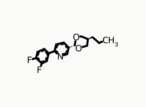 CCC[C@H]1CO[C@H](c2ccc(-c3ccc(F)c(F)c3)nc2)OC1